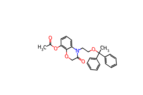 CC(=O)Oc1cccc2c1OCC(=O)N2CCOC(C)(c1ccccc1)c1ccccc1